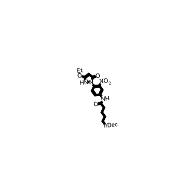 CCCCCCCCCCCCCCC(=O)Nc1ccc(-n2[nH]c(OCC)cc2=O)c([N+](=O)[O-])c1